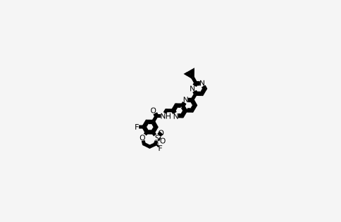 O=C(NCc1cc2nc(-c3ccnc(C4CC4)n3)ccc2cn1)c1cc(F)c2c(c1)S(=O)(=O)[C@@H](F)CCO2